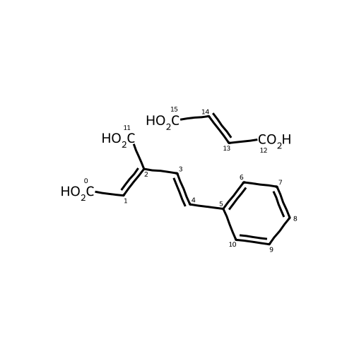 O=C(O)C=C(C=Cc1ccccc1)C(=O)O.O=C(O)C=CC(=O)O